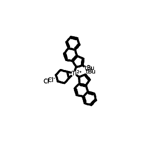 CC(C)(C)C1=Cc2c(ccc3ccccc23)[CH]1[Ti+2]1([CH]2C(C(C)(C)C)=Cc3c2ccc2ccccc32)[CH]2CCCC[CH]21.[Cl-].[Cl-]